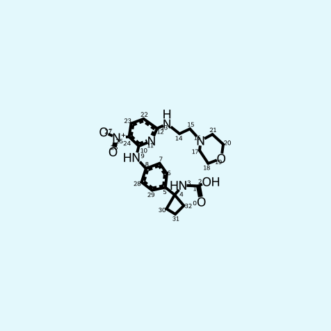 O=C(O)NC1(c2ccc(Nc3nc(NCCN4CCOCC4)ccc3[N+](=O)[O-])cc2)CCC1